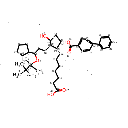 CC(C)(C)[Si](C)(C)OC(CC[C@H]1C(O)C[C@H](OC(=O)c2ccc(-c3ccccc3)cc2)[C@@H]1CCCCCCC(=O)O)C1CCCC1